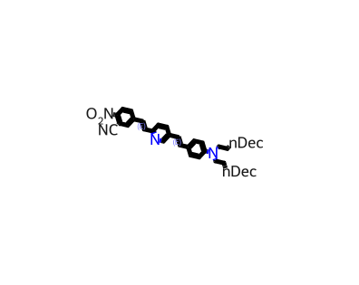 CCCCCCCCCCCCN(CCCCCCCCCCCC)c1ccc(/C=C/c2ccc(/C=C/c3ccc([N+](=O)[O-])c(C#N)c3)nc2)cc1